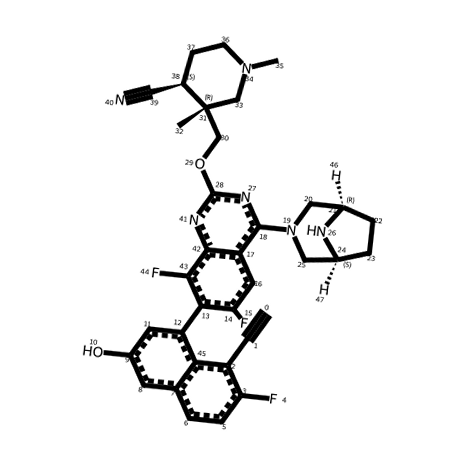 C#Cc1c(F)ccc2cc(O)cc(-c3c(F)cc4c(N5C[C@H]6CC[C@@H](C5)N6)nc(OC[C@@]5(C)CN(C)CC[C@@H]5C#N)nc4c3F)c12